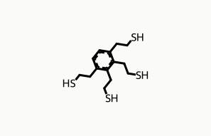 SCCc1ccc(CCS)c(CCS)c1CCS